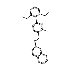 CCc1cccc(CC)c1-c1ccc(COc2ccc3ccccc3c2)c(C)n1